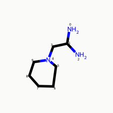 NC(N)CN1CCCCC1